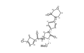 COC[C@H]1C(=O)N(c2ccc(N3CCOCC3=O)cc2)C[C@@H]1NC(=O)c1ccc(Cl)s1